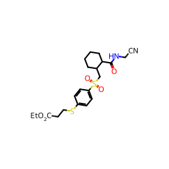 CCOC(=O)CCSc1ccc(S(=O)(=O)CC2CCCCC2C(=O)NCC#N)cc1